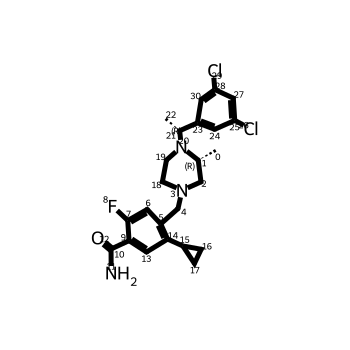 C[C@@H]1CN(Cc2cc(F)c(C(N)=O)cc2C2CC2)CCN1[C@H](C)c1cc(Cl)cc(Cl)c1